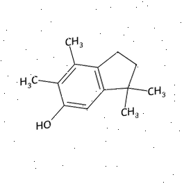 Cc1c(O)cc2c(c1C)CCC2(C)C